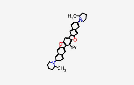 CC(C)c1c2oc3cc4cc(N5CCCCC5C)ccc4cc3c2cc2oc3cc4cc(N5CCCCC5C)ccc4cc3c12